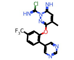 Cc1cc(=N)n(C(=N)Cl)nc1Oc1cc(C(F)(F)F)ccc1-c1cncnc1